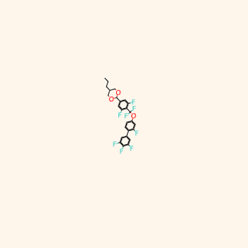 CCCC1COC(c2cc(F)c(C(F)(F)Oc3ccc(-c4cc(F)c(F)c(F)c4)c(F)c3)c(F)c2)OC1